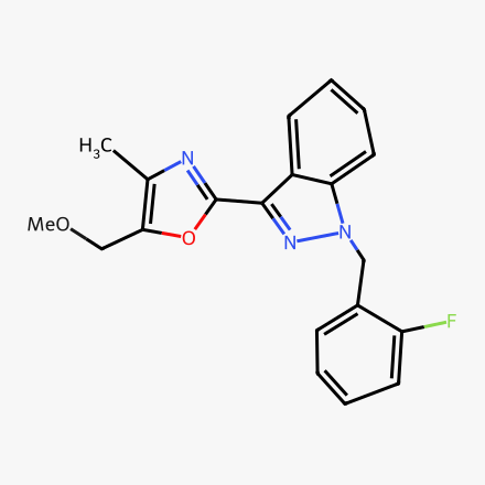 COCc1oc(-c2nn(Cc3ccccc3F)c3ccccc23)nc1C